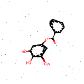 O=C(Oc1cc(O)c(O)c(O)c1)c1ccccc1